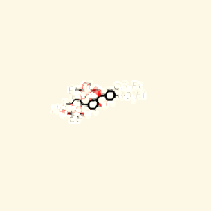 CCOC(=O)c1cc2oc3cc(OC(=O)CC)c(CC(CC(CO)OC(=O)CC)OC(=O)CC)c(OC(=O)CC)c3c(=O)c2cc1C(=O)OCC